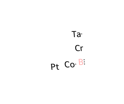 [B].[Co].[Cr].[Pt].[Ta]